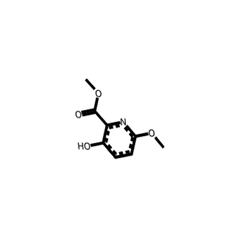 COC(=O)c1nc(OC)ccc1O